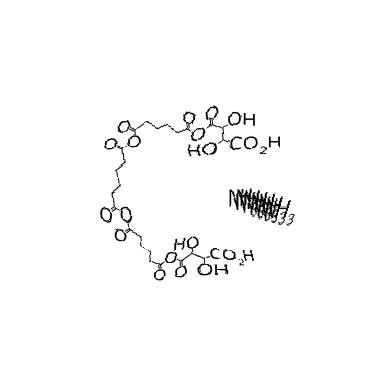 N.N.N.N.N.N.O=C(CCCCC(=O)OC(=O)CCCCC(=O)OC(=O)C(O)C(O)C(=O)O)OC(=O)CCCCC(=O)OC(=O)C(O)C(O)C(=O)O